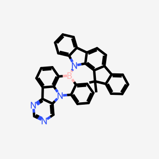 CC1(C)c2ccccc2-c2ccc3c4ccccc4n(B4c5ccccc5-n5c6cncnc6c6cccc4c65)c3c21